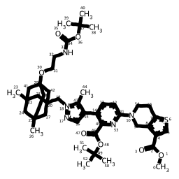 COC(=O)c1csc2c1CN(c1ccc(-c3cnn(CC45CC6(C)CC(C)(C4)CC(OCCNC(=O)OC(C)(C)C)(C6)C5)c3C)c(C(=O)OC(C)(C)C)n1)CC2